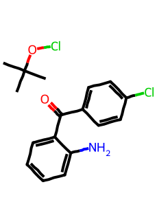 CC(C)(C)OCl.Nc1ccccc1C(=O)c1ccc(Cl)cc1